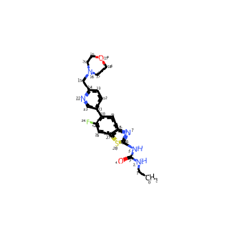 CCNC(=O)Nc1nc2cc(-c3ccc(CN4CCOCC4)nc3)c(F)cc2s1